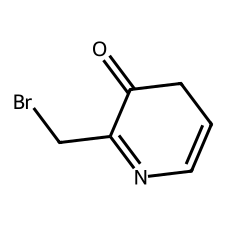 O=C1CC=CN=C1CBr